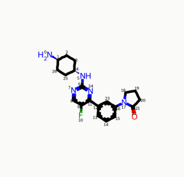 N[C@H]1CC[C@H](Nc2ncc(F)c(-c3cccc(N4CCCC4=O)c3)n2)CC1